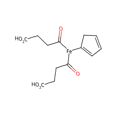 O=C(O)CC[C](=O)[Fe]([C](=O)CCC(=O)O)[C]1=CC=CC1